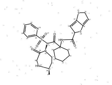 C[C@@H]1CC[C@H](N(C(=O)C2(NC(=O)C3C=C4SCC=C4S3)CCCCC2)S(=O)(=O)c2ccccn2)C(=O)CN1